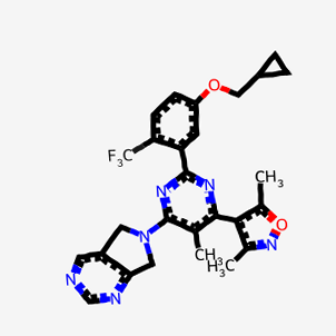 Cc1noc(C)c1-c1nc(-c2cc(OCC3CC3)ccc2C(F)(F)F)nc(N2Cc3cncnc3C2)c1C